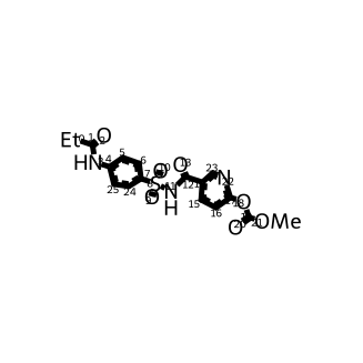 CCC(=O)Nc1ccc(S(=O)(=O)NC(=O)c2ccc(OC(=O)OC)nc2)cc1